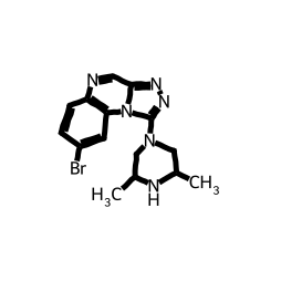 CC1CN(c2nnc3cnc4ccc(Br)cc4n23)CC(C)N1